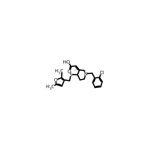 Cc1cc(CSC2CCN(Cc3ccccc3Cl)C/C2=C/C(=O)O)c(C)o1